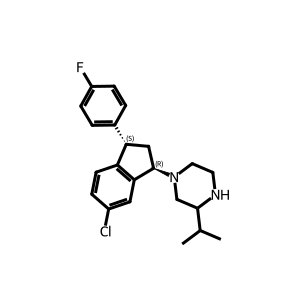 CC(C)C1CN([C@@H]2C[C@@H](c3ccc(F)cc3)c3ccc(Cl)cc32)CCN1